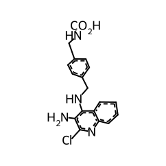 Nc1c(Cl)nc2ccccc2c1NCc1ccc(CNC(=O)O)cc1